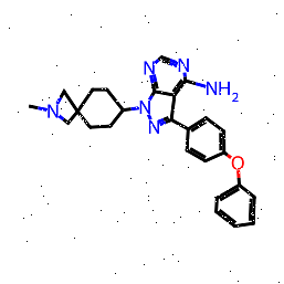 CN1CC2(CCC(n3nc(-c4ccc(Oc5ccccc5)cc4)c4c(N)ncnc43)CC2)C1